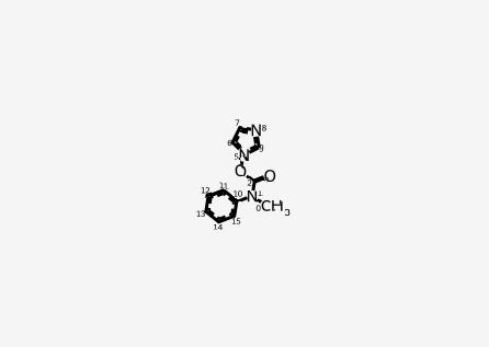 CN(C(=O)On1ccnc1)c1ccccc1